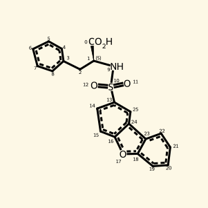 O=C(O)[C@H](Cc1ccccc1)NS(=O)(=O)c1ccc2oc3ccccc3c2c1